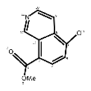 COC(=O)c1ccc(Cl)c2ccncc12